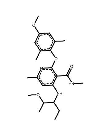 CCC(Nc1cc(C)nc(Oc2c(C)cc(OC)cc2C)c1C(=O)NC)C(C)OC